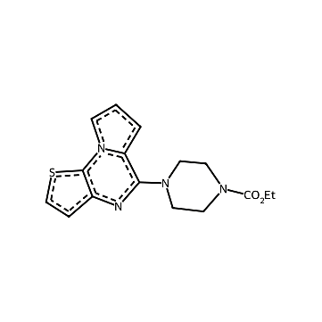 CCOC(=O)N1CCN(c2nc3ccsc3n3cccc23)CC1